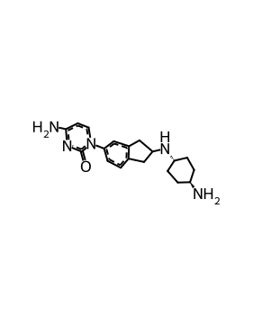 Nc1ccn(-c2ccc3c(c2)CC(N[C@H]2CC[C@H](N)CC2)C3)c(=O)n1